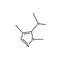 Cc1[c]nn(C)c1N(C)C